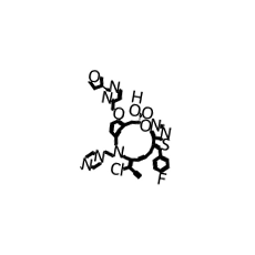 C#C/C(Cl)=C1\C=C/Cc2c(-c3ccc(F)cc3)sc3ncnc(c23)O[C@@H](C(=O)O)Cc2cc(ccc2OCc2ccnc([C@H]3CCOC3)n2)CN(CCN2CCN(C)CC2)C1